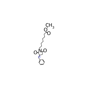 CCOC(=O)CCCCCCCN1C(=O)C/C(=C\c2ccccc2)C1=O